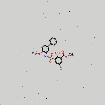 COC(=O)c1cc(Cl)cc(S(=O)(=O)Nc2cc(-c3ccccc3)ccc2OC)c1O